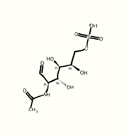 CC(=O)N[C@@H](C=O)[C@@H](O)[C@@H](O)[C@H](O)COS(=O)(=O)O